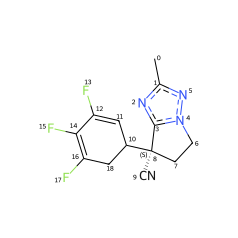 Cc1nc2n(n1)CC[C@@]2(C#N)C1C=C(F)C(F)=C(F)C1